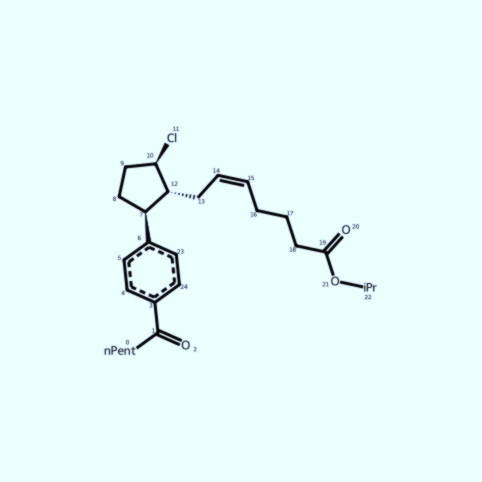 CCCCCC(=O)c1ccc([C@H]2CC[C@@H](Cl)[C@@H]2C/C=C\CCCC(=O)OC(C)C)cc1